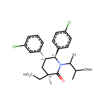 CCC(C(C)OC)N1C(=O)[C@@](C)(CC(=O)O)C[C@H](c2cccc(Cl)c2)[C@H]1c1ccc(Cl)cc1